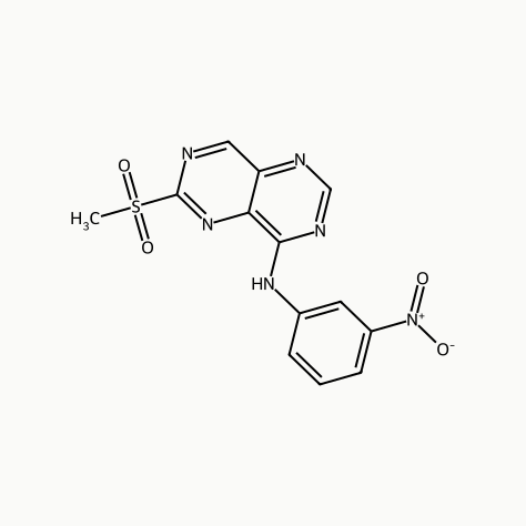 CS(=O)(=O)c1ncc2ncnc(Nc3cccc([N+](=O)[O-])c3)c2n1